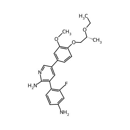 CCO[C@H](C)COc1ccc(-c2cnc(N)c(-c3ccc(N)cc3F)c2)cc1OC